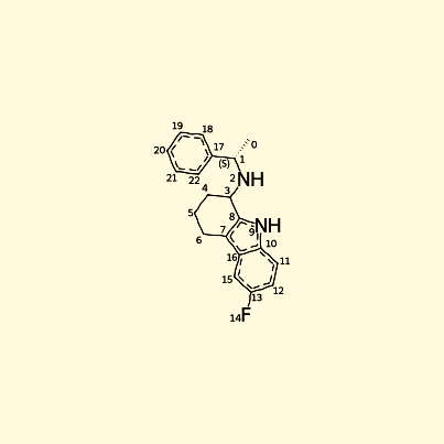 C[C@H](NC1CCCc2c1[nH]c1ccc(F)cc21)c1ccccc1